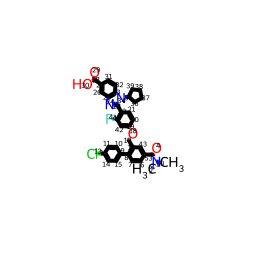 CN(C)C(=O)c1ccc(-c2ccc(Cl)cc2)c(COc2ccc(-c3nc4cc(C(=O)O)ccc4n3C3CCCC3)c(F)c2)c1